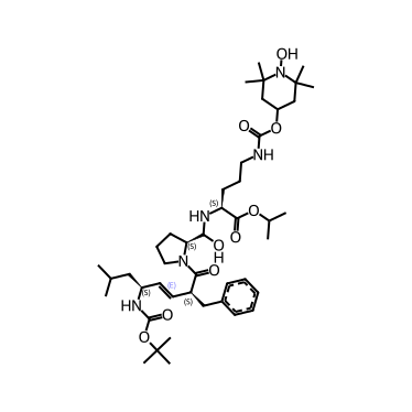 CC(C)C[C@@H](/C=C/[C@H](Cc1ccccc1)C(=O)N1CCC[C@H]1C(O)N[C@@H](CCCNC(=O)OC1CC(C)(C)N(O)C(C)(C)C1)C(=O)OC(C)C)NC(=O)OC(C)(C)C